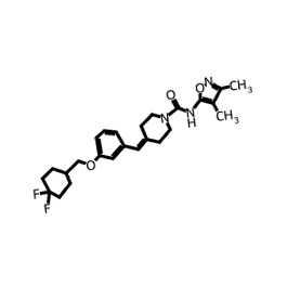 Cc1noc(NC(=O)N2CCC(=Cc3cccc(OCC4CCC(F)(F)CC4)c3)CC2)c1C